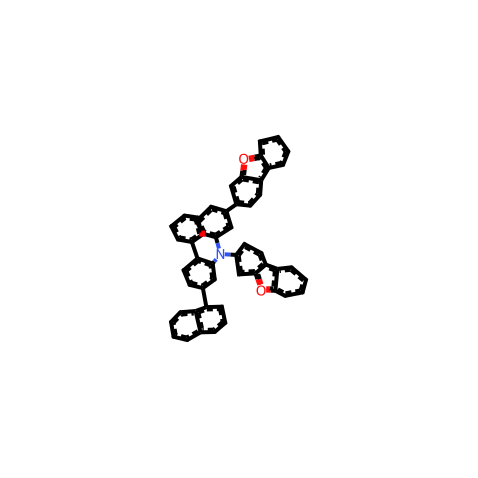 c1ccc(-c2ccc(-c3cccc4ccccc34)cc2N(c2cccc(-c3ccc4c(c3)oc3ccccc34)c2)c2ccc3c(c2)oc2ccccc23)cc1